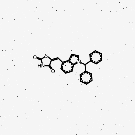 O=C1NC(=O)C(=Cc2cccc3c2ccn3C(c2ccccc2)c2ccccc2)S1